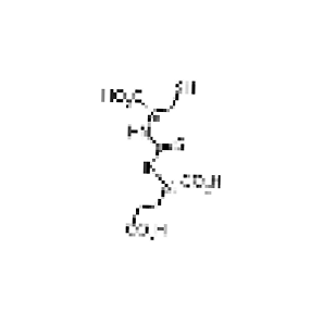 O=C(O)CC[C@H](NC(=S)N[C@@H](CS)C(=O)O)C(=O)O